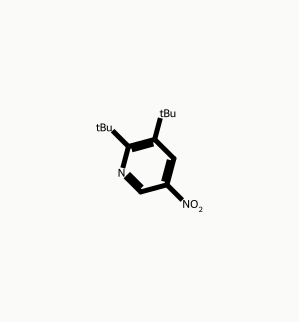 CC(C)(C)c1cc([N+](=O)[O-])cnc1C(C)(C)C